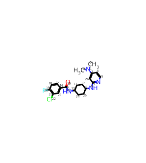 CN(C)c1ccnc(NC2CCC(NC(=O)c3ccc(F)c(Cl)c3)CC2)c1